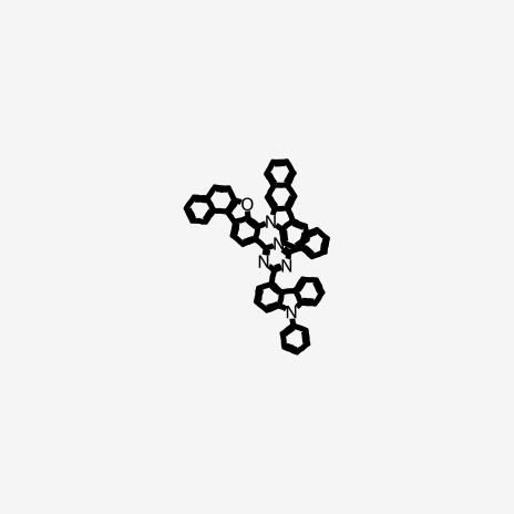 c1ccc(-c2nc(-c3ccc4c(oc5ccc6ccccc6c54)c3-n3c4ccccc4c4cc5ccccc5cc43)nc(-c3cccc4c3c3ccccc3n4-c3ccccc3)n2)cc1